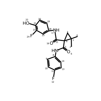 CC1(C)CC1(C(=O)Nc1ccc(F)cc1)C(=O)Nc1ccc(O)c(F)c1